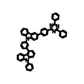 c1ccc(-c2nc(-c3ccccc3)nc(-c3ccc(-c4ccc5c(c4)c4ccccc4n5-c4cccc(-c5cccc6c5c5ccccc5n6-c5ccccc5)c4)cc3)n2)cc1